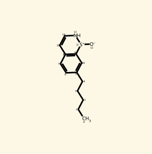 CCCCCc1ccc2c(c1)[S+]([O-])NC=C2